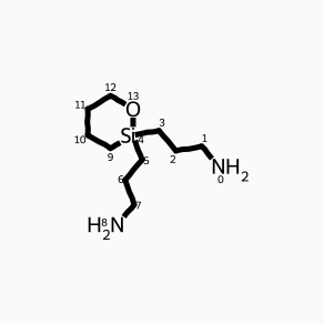 NCCC[Si]1(CCCN)CCCCO1